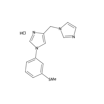 CSc1cccc(-n2cnc(Cn3ccnc3)c2)c1.Cl